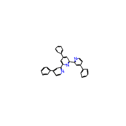 c1ccc(-c2ccnc(-c3cc(-c4ccccc4)cc(-c4cc(-c5ccccc5)ccn4)n3)c2)cc1